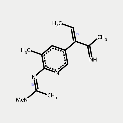 C/C=C(/C(C)=N)c1cnc(/N=C(\C)NC)c(C)c1